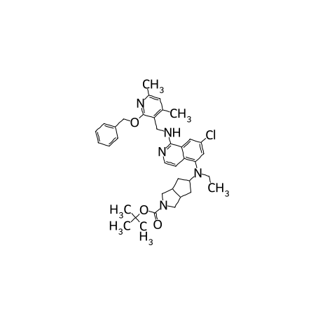 CCN(c1cc(Cl)cc2c(NCc3c(C)cc(C)nc3OCc3ccccc3)nccc12)C1CC2CN(C(=O)OC(C)(C)C)CC2C1